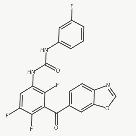 O=C(Nc1cccc(F)c1)Nc1cc(F)c(F)c(C(=O)c2ccc3ncoc3c2)c1F